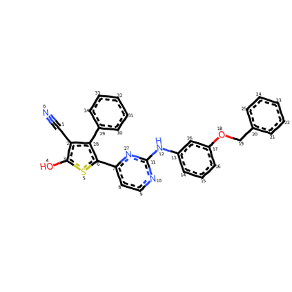 N#Cc1c(O)sc(-c2ccnc(Nc3cccc(OCc4ccccc4)c3)n2)c1-c1ccccc1